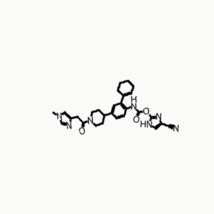 Cn1cnc(CC(=O)N2CCC(c3ccc(NC(=O)Oc4nc(C#N)c[nH]4)c(C4=CCCCC4)c3)CC2)c1